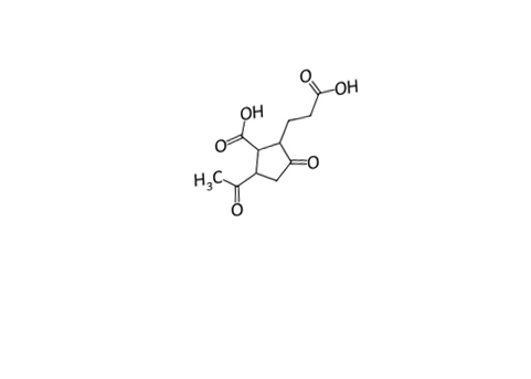 CC(=O)C1CC(=O)C(CCC(=O)O)C1C(=O)O